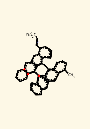 CCOC(=O)/C=C/c1cccc2c(-c3c(P(c4ccccc4)c4ccccc4)ccc4c(C)cccc34)c(P(c3ccccc3)c3ccccc3)ccc12